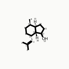 CC(C)=C[C@@H]1CC[C@@H](C)[C@H]2CCC(O)[C@@H]21